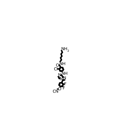 N#CCOc1ccc(-c2cnc3c(Nc4ccc(C(=O)NCCCCCCCN)c(Cl)c4)nccn23)c(F)c1F